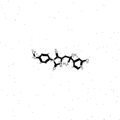 CC(C)(CC1NC(=O)N(c2ccc(OC(F)(F)F)cc2)C1=O)c1ccnc(Cl)c1